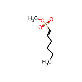 CCCC/C=C/S(=O)(=O)OC